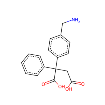 NCc1ccc(C(CC(=O)O)(C(=O)O)c2ccccc2)cc1